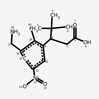 CC(C)(C)C(CC(=O)O)c1cc([N+](=O)[O-])cc(CN)c1F